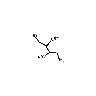 NCC(O)C(O)CO